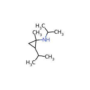 CC(C)NC1(C)CC1C(C)C